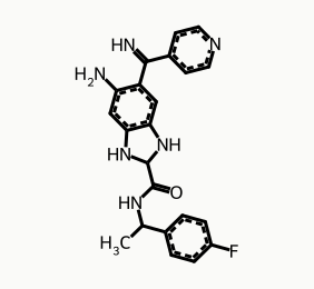 CC(NC(=O)C1Nc2cc(N)c(C(=N)c3ccncc3)cc2N1)c1ccc(F)cc1